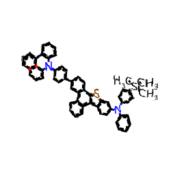 C[Si](C)(C)c1ccc(N(c2ccccc2)c2ccc3c(c2)sc2c4ccc(-c5ccc(N(c6ccccc6)c6ccccc6-c6ccccc6)cc5)cc4c4ccccc4c32)cc1